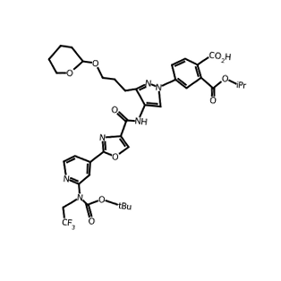 CC(C)OC(=O)c1cc(-n2cc(NC(=O)c3coc(-c4ccnc(N(CC(F)(F)F)C(=O)OC(C)(C)C)c4)n3)c(CCCOC3CCCCO3)n2)ccc1C(=O)O